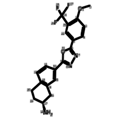 COc1ccc(-c2nnc(-c3ccc4c(c3)C[C@@H](N)CC4)o2)cc1C(F)(F)F